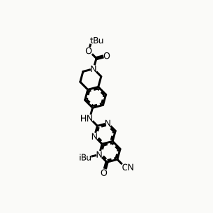 CCC(C)n1c(=O)c(C#N)cc2cnc(Nc3ccc4c(c3)CCN(C(=O)OC(C)(C)C)C4)nc21